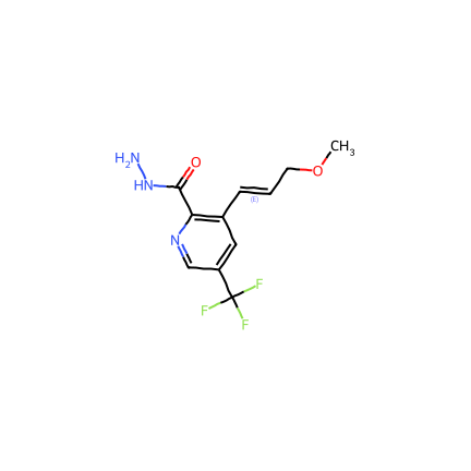 COC/C=C/c1cc(C(F)(F)F)cnc1C(=O)NN